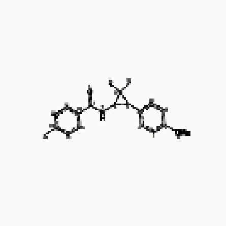 COc1ccc(C2C(NC(=O)c3ccc(C)cc3)C2(C)C)cc1